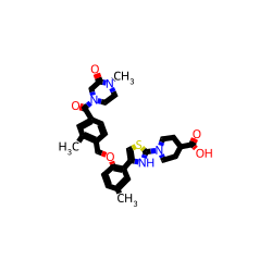 Cc1ccc(OCc2ccc(C(=O)N3CCN(C)C(=O)C3)cc2C)c(C2=CSC(N3CCC(C(=O)O)CC3)N2)c1